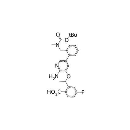 CC(Oc1cc(-c2ccccc2CN(C)C(=O)OC(C)(C)C)cnc1N)c1cc(F)ccc1C(=O)O